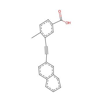 Cc1ccc(C(=O)O)cc1C#Cc1ccc2ccccc2c1